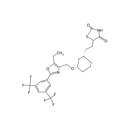 CCc1oc(-c2cc(C(F)(F)F)cc(C(F)(F)F)c2)nc1CO[C@H]1CCC[C@@H](CCC2SC(=O)NC2=O)C1